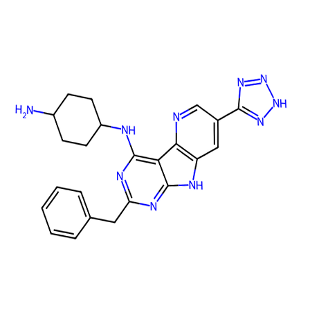 NC1CCC(Nc2nc(Cc3ccccc3)nc3[nH]c4cc(-c5nn[nH]n5)cnc4c23)CC1